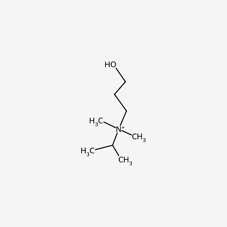 CC(C)[N+](C)(C)CCCO